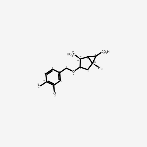 O=C(O)C1C2[C@H]1CC(OCc1ccc(Cl)c(Cl)c1)[C@H]2C(=O)O